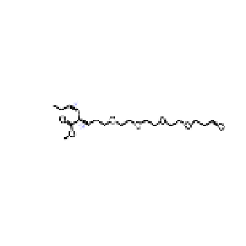 CC/C=C\C(=C/CCOCCOCCOCCOCCC=O)C(=O)OC